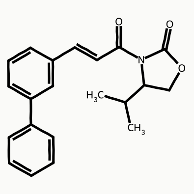 CC(C)C1COC(=O)N1C(=O)C=Cc1cccc(-c2ccccc2)c1